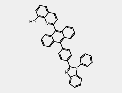 Oc1cccc2ccc(-c3c4ccccc4c(-c4ccc(-c5nc6ccccc6n5-c5ccccc5)cc4)c4ccccc34)nc12